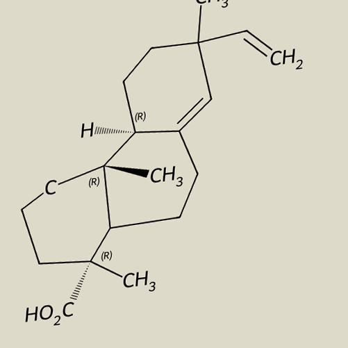 C=CC1(C)C=C2CCC3[C@](C)(C(=O)O)CCC[C@]3(C)[C@H]2CC1